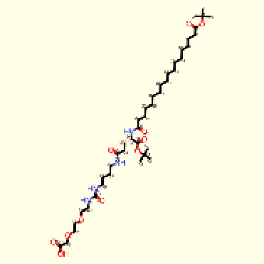 CC(C)(C)OC(=O)CCCCCCCCCCCCCCCCC(=O)N[C@@H](CCC(=O)NCCCCNC(=O)NCCOCCOCC(=O)O)C(=O)OC(C)(C)C